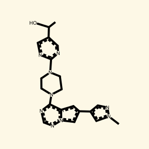 CC(O)c1cnc(N2CCN(c3ncnn4cc(-c5cnn(C)c5)cc34)CC2)nc1